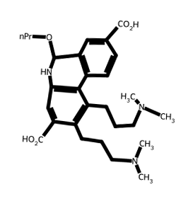 CCCOC1Nc2cc(C(=O)O)c(CCCN(C)C)c(CCCN(C)C)c2-c2ccc(C(=O)O)cc21